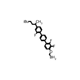 BCOc1ccc(-c2ccc(-c3ccc(C(C)CCC(C)CC)cc3F)cc2)c(F)c1F